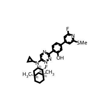 CSc1cc(-c2ccc(-c3ncc(N(C4CC4)[C@H]4C[C@]5(C)CCC[C@@](C)(C5)[C@H]4F)nn3)c(O)c2)cc(F)n1